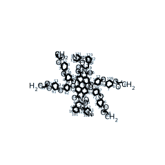 C=CC(=O)Oc1cccc(Oc2ccc(Oc3cc4c5c(cc(Oc6ccc(Oc7cccc(OC(=O)C=C)c7)cc6)c6c7c(Oc8ccc(Oc9cccc(OC(=O)C=C)c9)cc8)cc8c9c(cc(Oc%10ccc(Oc%11cccc(OC(=O)C=C)c%11)cc%10)c(c3c56)c97)C(=O)N(C(Cc3ccccc3)C(=O)Oc3ccncc3)C8=O)C(=O)N(C(Cc3ccccc3)C(=O)Oc3ccncc3)C4=O)cc2)c1